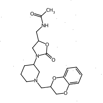 CC(=O)NCC1CN(C2CCCN(CC3COc4ccccc4O3)C2)C(=O)O1